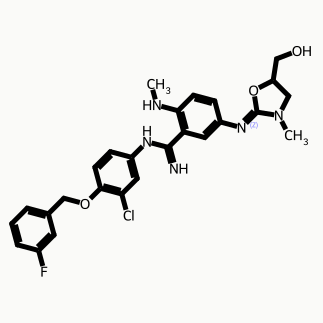 CNc1ccc(/N=C2\OC(CO)CN2C)cc1C(=N)Nc1ccc(OCc2cccc(F)c2)c(Cl)c1